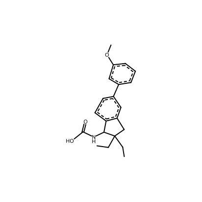 CCC1(CC)Cc2cc(-c3cccc(OC)c3)ccc2C1NC(=O)O